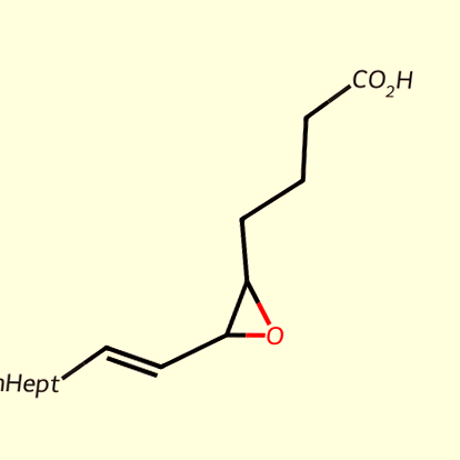 CCCCCCCC=CC1OC1CCCC(=O)O